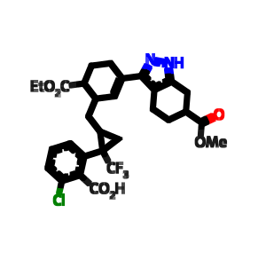 CCOC(=O)C1CCC(c2n[nH]c3c2CCC(C(=O)OC)C3)=CC1CC1CC1(c1cccc(Cl)c1C(=O)O)C(F)(F)F